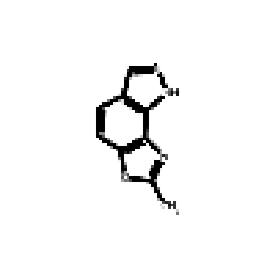 Cc1nc2c(ccc3cn[nH]c32)o1